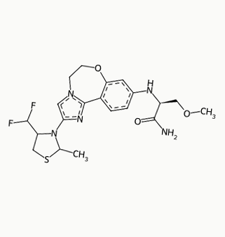 COC[C@H](Nc1ccc2c(c1)OCCn1cc(N3C(C)SCC3C(F)F)nc1-2)C(N)=O